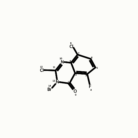 O=c1c2c(F)ccc(Cl)c2nc(Cl)n1Br